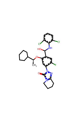 C[C@H](Oc1cc(-n2nc3n(c2=O)CCCC3)c(F)cc1C(O)Nc1c(Cl)cccc1Cl)C1CCCCC1